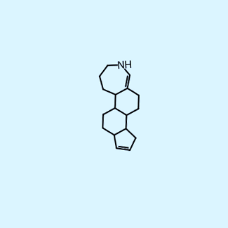 C1=CC2CCC3C4CCCNC=C4CCC3C2C1